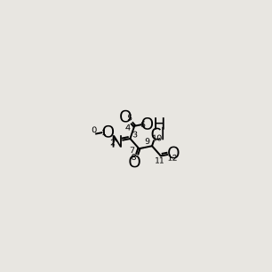 CON=C(C(=O)O)C(=O)C(Cl)C=O